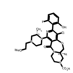 COCCN1CCN(c2nc(-c3c(O)cccc3F)c(Cl)c3c2C(=O)N2CCN(C(=O)O)C[C@@H]2CO3)[C@@H](C)C1